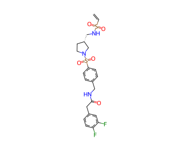 C=CS(=O)(=O)NC[C@H]1CCN(S(=O)(=O)c2ccc(CNC(=O)Cc3ccc(F)c(F)c3)cc2)C1